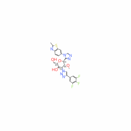 CO[C@@H]1[C@@H](n2cc(-c3cc(F)c(F)c(F)c3)nn2)[C@@H](O)[C@@H](CO)O[C@H]1c1nncn1-c1ccc2nc(C)sc2c1